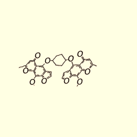 COc1c2occc2c(OC2CCC(Oc3c4ccoc4c(OC)c4oc(C)cc(=O)c34)CC2)c2c(=O)cc(C)oc12